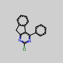 Clc1nc2c(c(-c3ccccc3)n1)-c1ccccc1C2